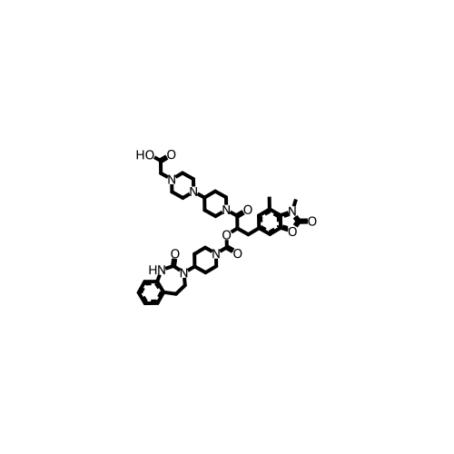 Cc1cc(CC(OC(=O)N2CCC(N3CCc4ccccc4NC3=O)CC2)C(=O)N2CCC(N3CCN(CC(=O)O)CC3)CC2)cc2oc(=O)n(C)c12